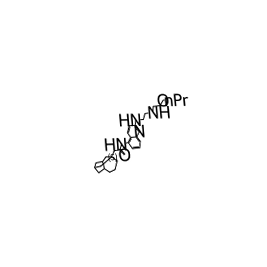 CCCOCCNCCNc1ccc2c(NC(=O)C[C@]34CCCC5CC(CC5C3)C4)cccc2n1